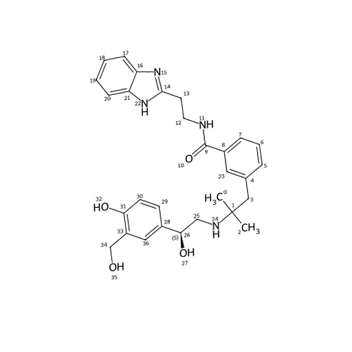 CC(C)(Cc1cccc(C(=O)NCCc2nc3ccccc3[nH]2)c1)NC[C@@H](O)c1ccc(O)c(CO)c1